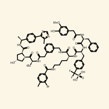 COc1cc(CC(=O)N[C@@H](Cc2ccccc2)C(=O)N[C@@H](Cc2ccc(C(F)(F)P(=O)(O)O)cc2)C(=O)N[C@@H](CCCCNC(=O)c2ccc(C)c(Br)c2)C(=O)NCc2cccc(CC(=O)N[C@H](C(=O)N3C[C@H](O)C[C@H]3C(=O)N[C@@H](C)c3ccc(-c4scnc4C)cc3)C(C)(C)C)c2)ccc1O